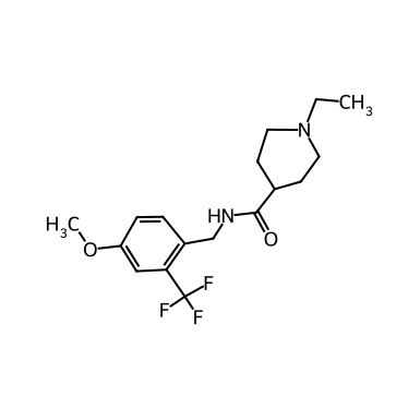 CCN1CCC(C(=O)NCc2ccc(OC)cc2C(F)(F)F)CC1